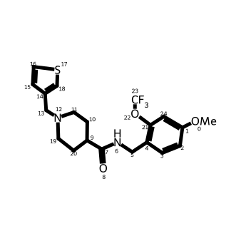 COc1ccc(CNC(=O)C2CCN(Cc3ccsc3)CC2)c(OC(F)(F)F)c1